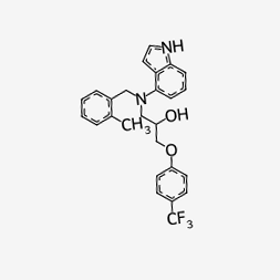 Cc1ccccc1CN(CC(O)COc1ccc(C(F)(F)F)cc1)c1cccc2[nH]ccc12